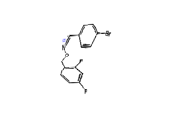 Fc1ccc(CO/N=[C]\c2ccc(Br)cc2)c(F)c1